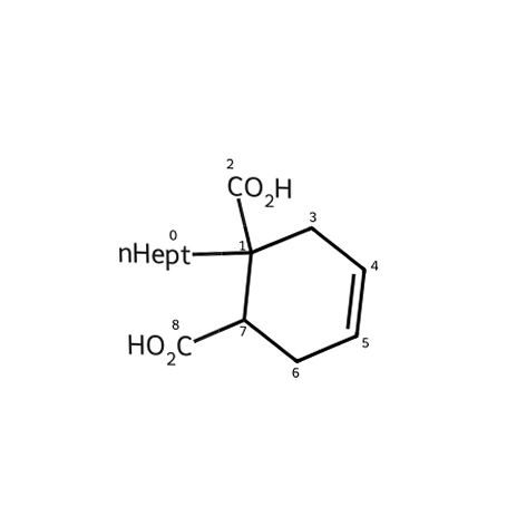 CCCCCCCC1(C(=O)O)CC=CCC1C(=O)O